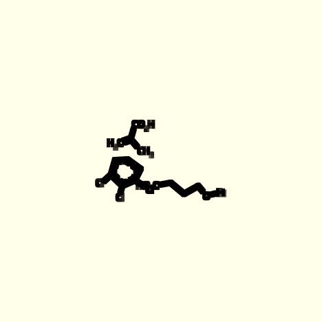 C=C(C)C(=O)O.CCOCCCC(=O)O.Clc1cccc(Cl)c1Cl